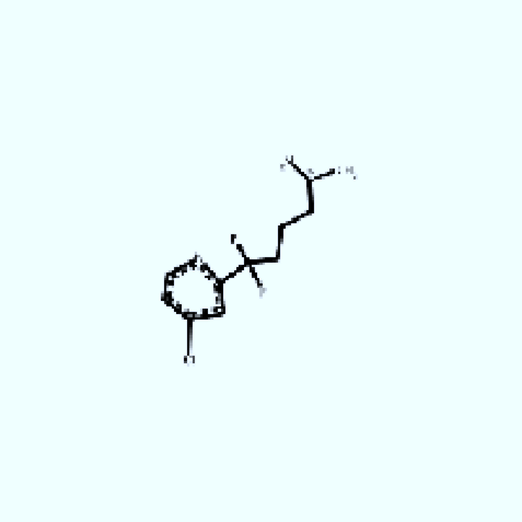 C[C@H](N)CCCC(F)(F)c1cc(Cl)ccn1